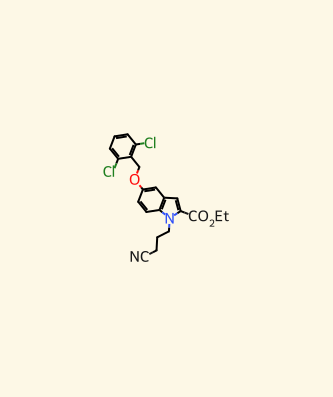 CCOC(=O)c1cc2cc(OCc3c(Cl)cccc3Cl)ccc2n1CCCC#N